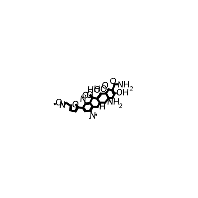 CO/N=C/c1ccc(-c2cc(N(C)C)c3c(c2N=O)C(=O)C2=C(O)[C@]4(O)C(=O)C(C(N)=O)=C(O)C[C@]4(N)C[C@@H]2C3)o1